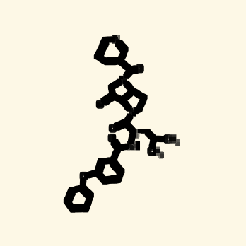 CC(C)C[C@H](NC(=O)c1cccc(Oc2ccccc2)c1)C(=O)N1CCC2C1C(=O)CN2C(=O)c1cccnc1